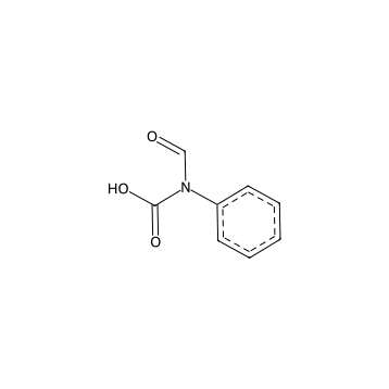 O=CN(C(=O)O)c1ccccc1